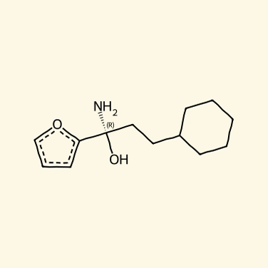 N[C@@](O)(CCC1CCCCC1)c1ccco1